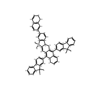 CC1(C)c2ccccc2-c2ccc(C3=C4CC5C(=CC4=C(c4ccc6c(c4)C(C)(C)c4ccccc4-6)C4CC=CC=C34)[Si](C)(C)c3cc(-c4ccc6c(c4)CCC=C6)ccc35)cc21